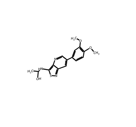 COc1ccc(-c2cnc3c(NC(C)O)snc3c2)cc1OC